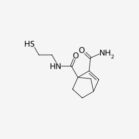 NC(=O)C1=CC2CCC1(C(=O)NCCS)C2